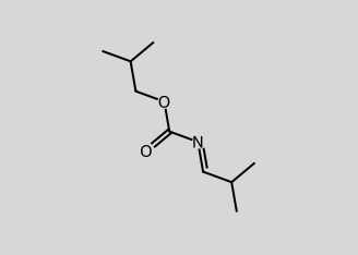 CC(C)C=NC(=O)OCC(C)C